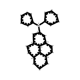 c1ccc(N(c2ccccc2)c2cc3ccc4cccc5ccc(c2)c3c45)cc1